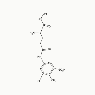 Cc1c(Cl)cc(NC(=O)CCC(N)C(=O)NO)cc1S(=O)(=O)O